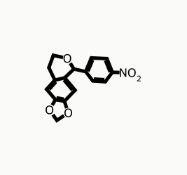 O=[N+]([O-])c1ccc(C2OCCc3cc4c(cc32)OCO4)cc1